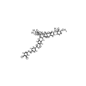 Cc1nccc(Oc2ccc(C[C@H](NC(=O)[C@@H]3Cc4cc5c(cc4CN3C(=O)NC(C)(C)C)O[C@@H](c3ccc(OCc4ccc(Cl)c(Cl)c4)cc3)CO5)C(=O)O)cc2)c1C